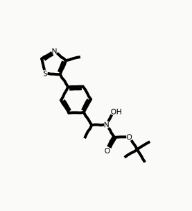 Cc1ncsc1-c1ccc(C(C)N(O)C(=O)OC(C)(C)C)cc1